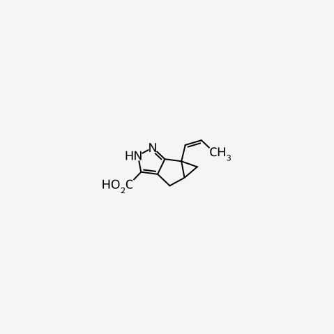 C/C=C\C12CC1Cc1c2n[nH]c1C(=O)O